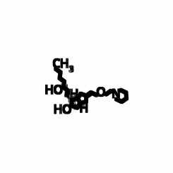 CCCCC[C@H](O)C=C[C@@H]1[C@H]2CC(=CCOCCN3CCCCC3)C[C@H]2C[C@H]1O